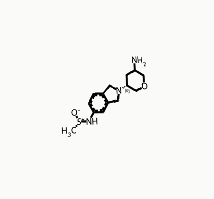 C[S+]([O-])Nc1ccc2c(c1)CN([C@H]1COCC(N)C1)C2